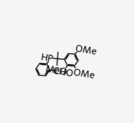 COc1cc(OC)c(OC)c(C(C)(C)Pc2ccccc2C=O)c1